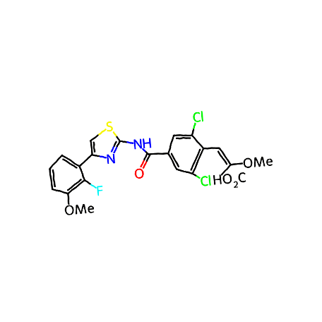 CO/C(=C/c1c(Cl)cc(C(=O)Nc2nc(-c3cccc(OC)c3F)cs2)cc1Cl)C(=O)O